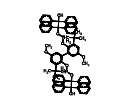 COc1cc(-c2cc(OC)cc(C(C)(C)C)c2OPOC(c2ccccc2)(c2ccccc2)C(O)(c2ccccc2)c2ccccc2)c(OPOC(c2ccccc2)(c2ccccc2)C(O)(c2ccccc2)c2ccccc2)c(C(C)(C)C)c1